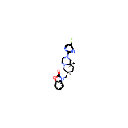 O=c1oc2ccccc2n1C[C@@H]1CC[C@H]2CN(c3ncc(F)cn3)CCN2C1